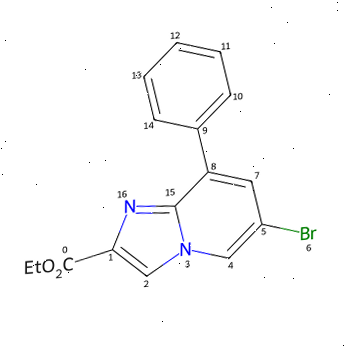 CCOC(=O)c1cn2cc(Br)cc(-c3ccccc3)c2n1